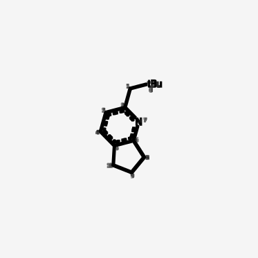 CC(C)(C)Cc1ccc2c(n1)CCC2